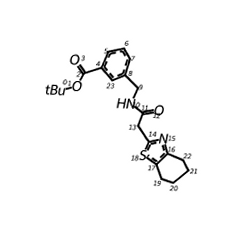 CC(C)(C)OC(=O)c1cccc(CNC(=O)Cc2nc3c(s2)CCCC3)c1